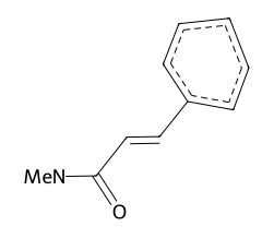 CNC(=O)C=Cc1ccccc1